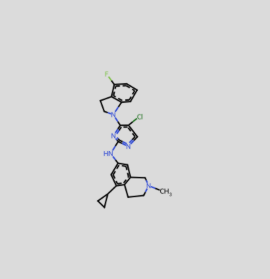 CN1CCc2c(cc(Nc3ncc(Cl)c(N4CCc5c(F)cccc54)n3)cc2C2CC2)C1